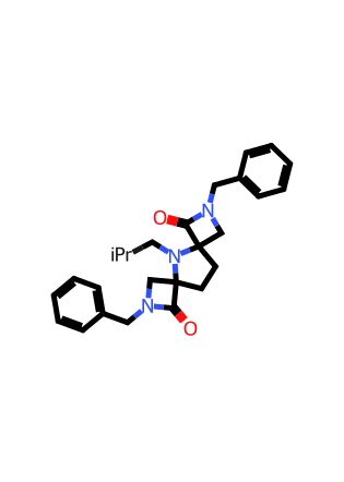 CC(C)CN1C2(CCC13CN(Cc1ccccc1)C3=O)CN(Cc1ccccc1)C2=O